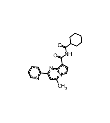 Cc1cc(-c2ccccn2)nc2c(C(=O)NC(=O)C3CCCCC3)ccn12